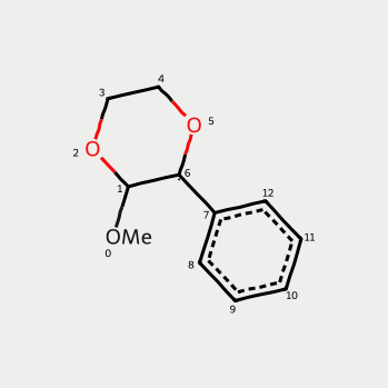 COC1OCCO[C]1c1ccccc1